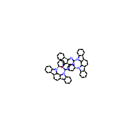 c1ccc(-n2c3ccccc3c3ccc4c5ccccc5n(-c5nc6c7c(nc(-n8c9ccccc9c9ccc%10c%11ccccc%11n(-c%11ccccc%11)c%10c98)nc7n5)-c5ccccc5-6)c4c32)cc1